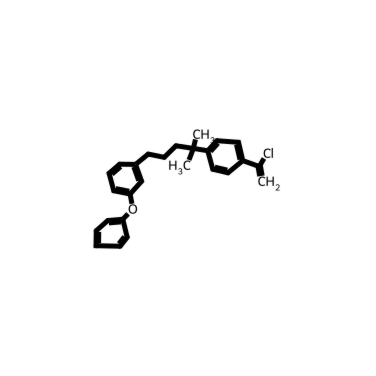 C=C(Cl)c1ccc(C(C)(C)CCCc2cccc(Oc3ccccc3)c2)cc1